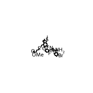 COC(=O)CCCSCCc1c(Oc2ccc(F)c(-c3ncc(C(N)c4cccc(Br)c4)[nH]3)c2)c(F)cc2c1ccn2SI